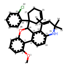 COc1cccc2c1-c1ccc3c(c1C(C1(c4ccccc4Cl)CC=CCC1)O2)C(C)=CC(C)(C)N3